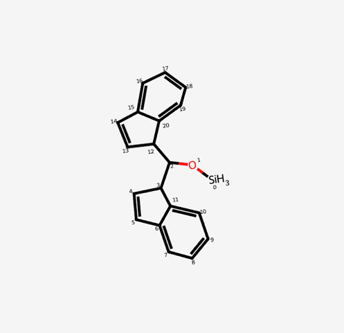 [SiH3]OC(C1C=Cc2ccccc21)C1C=Cc2ccccc21